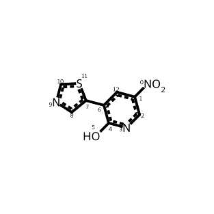 O=[N+]([O-])c1cnc(O)c(-c2cncs2)c1